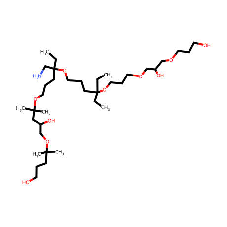 CCC(CC)(CCCOC(CC)(CN)CCCOC(C)(C)CC(O)COC(C)(C)CCCO)OCCCOCC(O)COCCCO